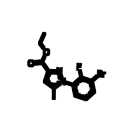 CCOC(=O)c1cc(C)n(-c2cccc(Br)c2F)n1